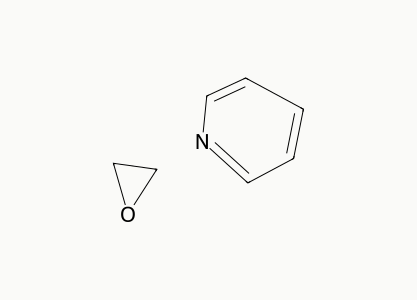 C1CO1.c1ccncc1